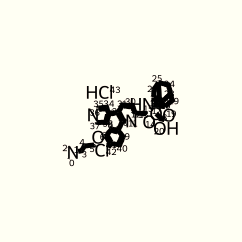 CN(C)CCCOc1cc(-c2nc(C(=O)NC3(OC(=O)O)C4CC5CC(C4)CC3C5)ccc2-c2ccncc2)ccc1Cl.Cl